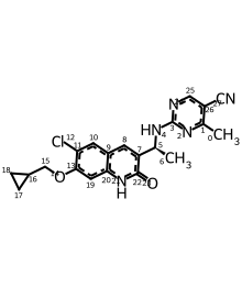 Cc1nc(N[C@@H](C)c2cc3cc(Cl)c(OCC4CC4)cc3[nH]c2=O)ncc1C#N